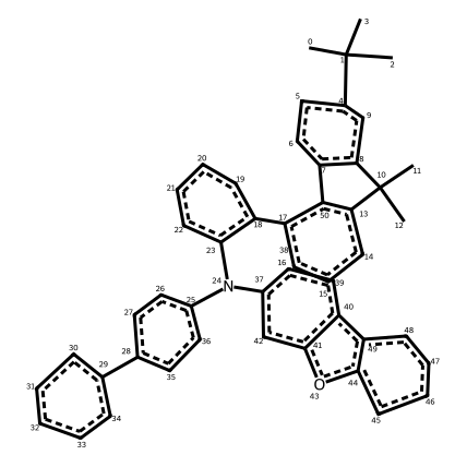 CC(C)(C)c1ccc2c(c1)C(C)(C)c1cccc(-c3ccccc3N(c3ccc(-c4ccccc4)cc3)c3ccc4c(c3)oc3ccccc34)c1-2